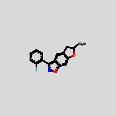 CCOC(=O)C1Cc2cc3c(-c4ccccc4F)noc3cc2O1